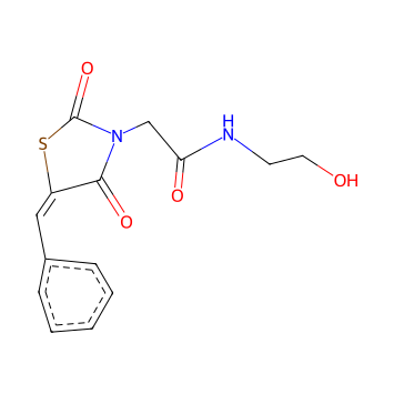 O=C(CN1C(=O)SC(=Cc2ccccc2)C1=O)NCCO